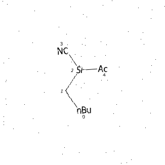 CCCCC[Si](C#N)C(C)=O